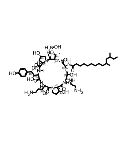 CCC(C)CC(C)CCCCCCCCC(=O)N[C@H]1C[C@@H](O)[C@H](NCCN)NC(=O)[C@@H]2[C@@H](O)CCN2C(=O)[C@H]([C@@H](O)CCN)NC(=O)[C@H]([C@H](O)[C@@H](O)c2ccc(O)cc2)NC(=O)[C@@H]2C[C@@H](O)CN2C(=O)[C@H]([C@@H](C)O)NC1=O.NO